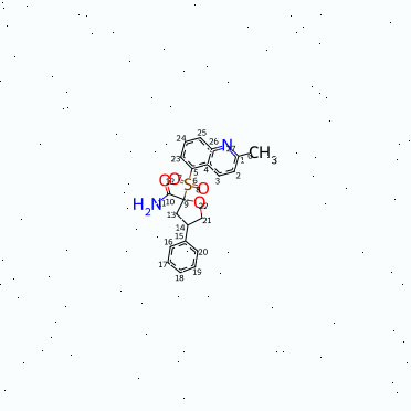 Cc1ccc2c(S(=O)(=O)C3(C(N)=O)CC(c4ccccc4)CO3)cccc2n1